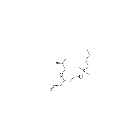 C=CCC(CCO[Si](C)(C)CCCC)OCC(=C)C